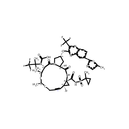 Cc1cnc(-c2ccc3nc(C(F)(F)F)c(O[C@@H]4C[C@H]5C(=O)N[C@]6(C(=O)NS(=O)(=O)C7(C)CC7)C[C@H]6/C=C\CC[C@@H](C)C[C@@H](C)[C@H](N(C(=O)O)C(C)(C)C(F)(F)F)C(=O)N5C4)nc3c2)o1